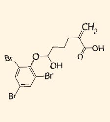 C=C(CCCC(O)Oc1c(Br)cc(Br)cc1Br)C(=O)O